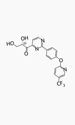 O=C(c1ccnc(-c2ccc(Oc3ccc(C(F)(F)F)cn3)cc2)n1)[C@@H](O)CO